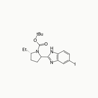 CC[C@H]1CCC(c2nc3cc(I)ccc3[nH]2)N1C(=O)OC(C)(C)C